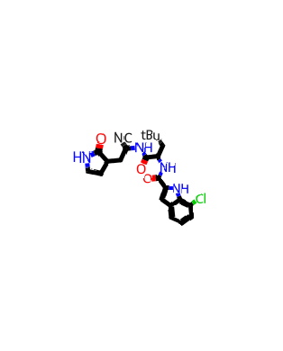 CC(C)(C)CC(NC(=O)c1cc2cccc(Cl)c2[nH]1)C(=O)NC(C#N)CC1CCNC1=O